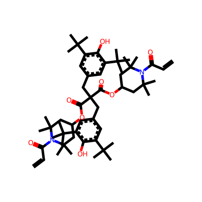 C=CC(=O)N1C(C)(C)CC(OC(=O)C(Cc2cc(C(C)(C)C)c(O)c(C(C)(C)C)c2)(Cc2cc(C(C)(C)C)c(O)c(C(C)(C)C)c2)C(=O)OC2CC(C)(C)N(C(=O)C=C)C(C)(C)C2)CC1(C)C